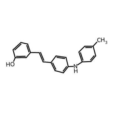 Cc1ccc(Nc2ccc(C=Cc3cccc(O)c3)cc2)cc1